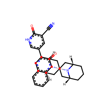 N#Cc1cc(-c2nc3ccccc3n([C@H]3C[C@H]4CCC[C@@H](C3)N4[C@H]3C[C@@H]4CCC[C@@H](C4)C3)c2=O)c[nH]c1=O